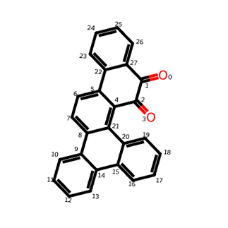 O=C1C(=O)c2c(ccc3c4ccccc4c4ccccc4c23)-c2ccccc21